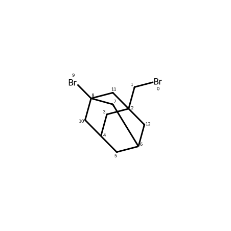 BrCC12CC3CC(CC(Br)(C3)C1)C2